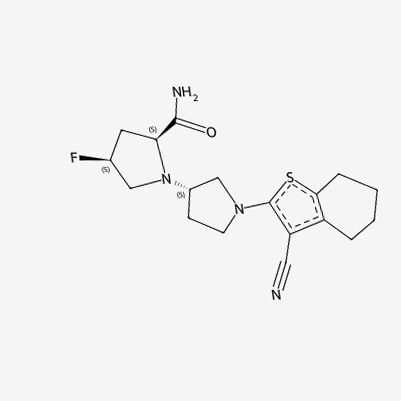 N#Cc1c(N2CC[C@H](N3C[C@@H](F)C[C@H]3C(N)=O)C2)sc2c1CCCC2